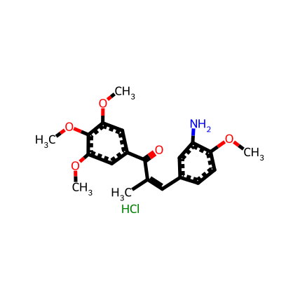 COc1ccc(C=C(C)C(=O)c2cc(OC)c(OC)c(OC)c2)cc1N.Cl